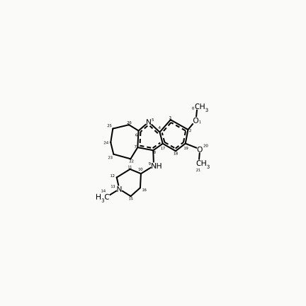 COc1cc2nc3c(c(NC4CCN(C)CC4)c2cc1OC)CCCCC3